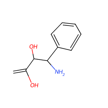 C=C(O)C(O)C(N)c1ccccc1